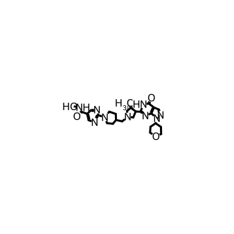 C[C@@H]1CN(CC2CCN(c3ncc(C(=O)NO)cn3)CC2)CC1c1nc2c(cnn2C2CCOCC2)c(=O)[nH]1